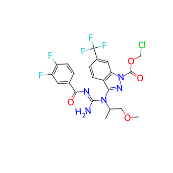 COCC(C)N(C(N)=NC(=O)c1ccc(F)c(F)c1)c1nn(C(=O)OCCl)c2cc(C(F)(F)F)ccc12